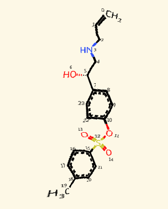 C=CCNC[C@@H](O)c1ccc(OS(=O)(=O)c2ccc(C)cc2)cc1